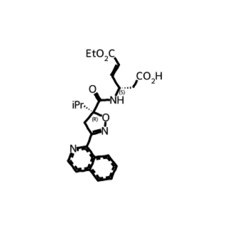 CCOC(=O)C=C[C@H](CC(=O)O)NC(=O)[C@]1(C(C)C)CC(c2nccc3ccccc23)=NO1